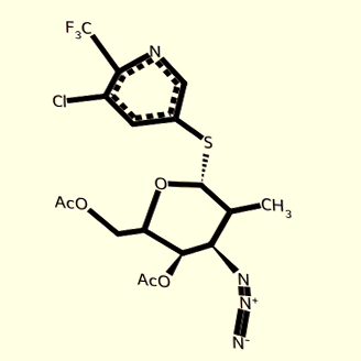 CC(=O)OCC1O[C@H](Sc2cnc(C(F)(F)F)c(Cl)c2)C(C)[C@@H](N=[N+]=[N-])[C@H]1OC(C)=O